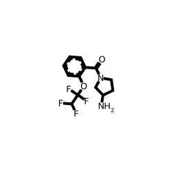 NC1CCN(C(=O)c2ccccc2OC(F)(F)C(F)F)C1